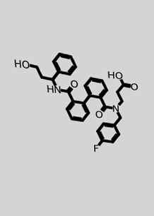 O=C(O)CCN(Cc1ccc(F)cc1)C(=O)c1ccccc1-c1ccccc1C(=O)NC(CCO)c1ccccc1